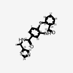 CC(NC(=O)c1ccc2c(c1)NC(=O)c1ccccc1S2)c1cncs1